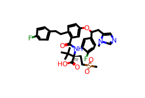 Cn1cncc1CC(Oc1ccc(CCc2ccc(F)cc2)c(C(=O)N[C@](CCS(C)(=O)=O)(C(=O)O)C(C)(C)C)c1)c1ccc(F)cc1